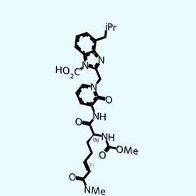 CNC(=O)/C=C/CC[C@H](NC(=O)OC)C(=O)Nc1cccn(Cc2nc3c(CC(C)C)cccc3n2C(=O)O)c1=O